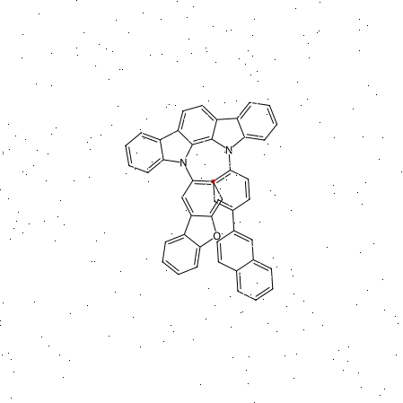 c1ccc2cc(-c3ccc(-n4c5ccccc5c5ccc6c7ccccc7n(-c7ccc8oc9ccccc9c8c7)c6c54)cc3)ccc2c1